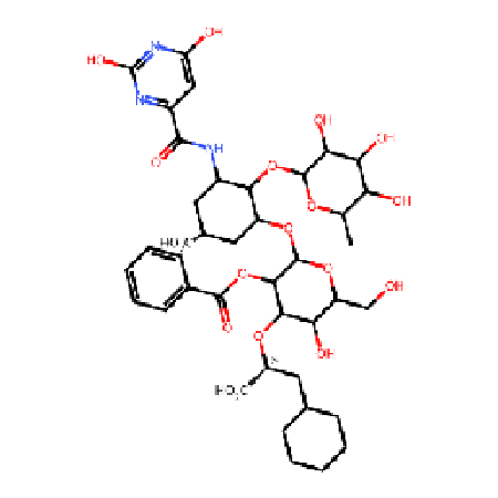 CC1OC(OC2C(NC(=O)c3cc(O)nc(O)n3)CC(C(=O)O)CC2OC2OC(CO)C(O)C(O[C@@H](CC3CCCCC3)C(=O)O)C2OC(=O)c2ccccc2)C(O)C(O)C1O